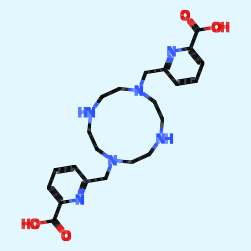 O=C(O)c1cccc(CN2CCNCCN(Cc3cccc(C(=O)O)n3)CCNCC2)n1